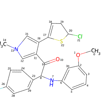 COc1cccc(NC(C(=O)c2cn(C)cc2C2=CCC(Cl)S2)c2ccc(F)cc2)c1